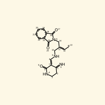 N=C1CCNC(=O)/C1=C/NC/C(=C/F)CN1C(=O)c2ccccc2C1=O